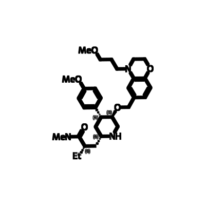 CC[C@@H](C[C@@H]1C[C@H](c2ccc(OC)cc2)[C@@H](OCc2ccc3c(c2)N(CCCOC)CCO3)CN1)C(=O)NC